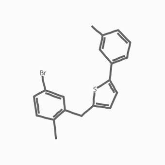 Cc1cccc(-c2ccc(Cc3cc(Br)ccc3C)s2)c1